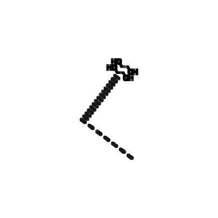 C=C.C=C.C=C.C=C.C=C.C=C.C=C.C=C.C=C.C=C.C=C.C=C.C=C.C=C.C=C.C=C.C=C.C=C.C=C.C=C.C=C.OCCO.OCCO